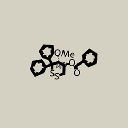 CO[C@@H]1[C@@H](OC(=O)c2ccccc2)CSSC1(c1ccccc1)c1ccccc1